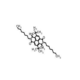 CCCCCCCCN1C(=O)c2cc(C(C)(C)C)c3c4c(cc(C(C)(C)C)c(c24)C1=O)C(=O)N(CCCCCCCC)C3=O